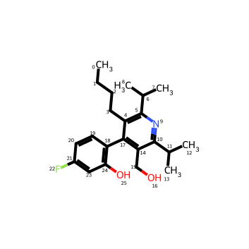 CCCCc1c(C(C)C)nc(C(C)C)c(CO)c1-c1ccc(F)cc1O